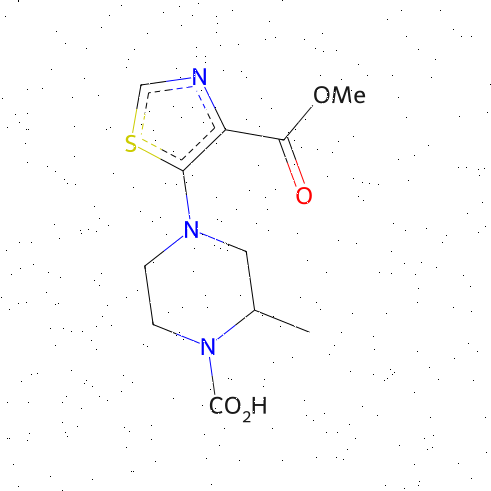 COC(=O)c1ncsc1N1CCN(C(=O)O)C(C)C1